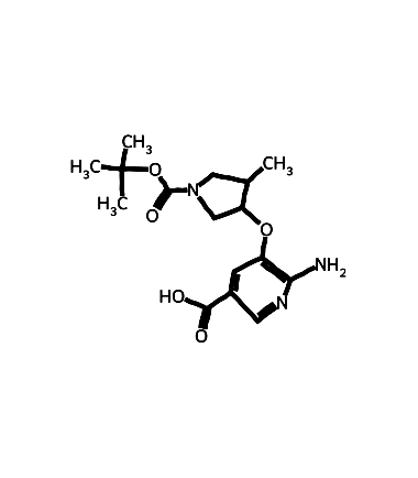 CC1CN(C(=O)OC(C)(C)C)CC1Oc1cc(C(=O)O)cnc1N